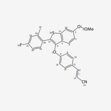 COOc1ccc2c(Oc3ccc(/C=C/C#N)cc3)c(-c3ccc(F)cc3C)sc2c1